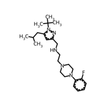 CC(C)Cc1cc(CNCCN2CCN(c3ccccc3F)CC2)nn1C(C)(C)C